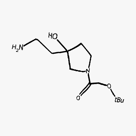 CC(C)(C)OC(=O)N1CCC(O)(CCN)C1